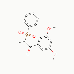 COc1cc(OC)cc(C(=O)C(C)S(=O)(=O)c2ccccc2)c1